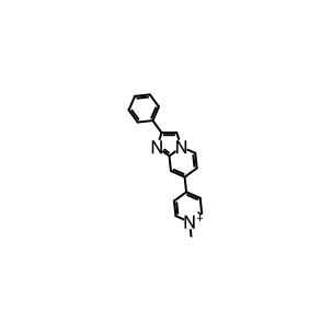 C[n+]1ccc(-c2ccn3cc(-c4ccccc4)nc3c2)cc1